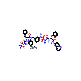 COc1ccc(N(Cc2cccc(NS(=O)(=O)NC(=O)N[C@@H](Cc3ccccc3)C(=O)N(C)c3ccc4ncccc4c3)c2Cl)C(=O)[C@@H](NC(=O)NS(=O)(=O)N(C)C)[C@H](C)c2ccccc2)cc1